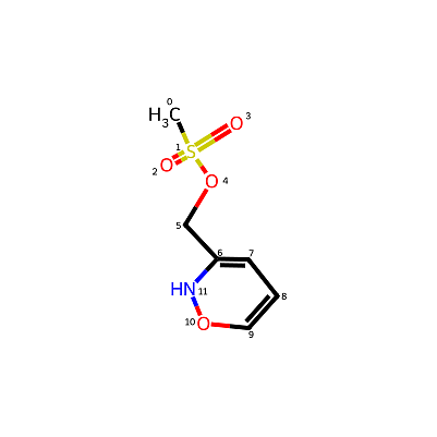 CS(=O)(=O)OCC1=CC=CON1